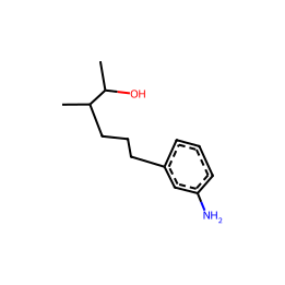 CC(O)C(C)CCCc1cccc(N)c1